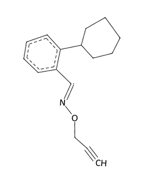 C#CCON=[C]c1ccccc1C1CCCCC1